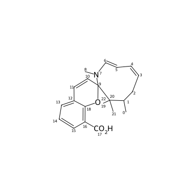 CC1C/C=C\C=C\N(C)C2(C=Cc3cccc(C(=O)O)c3O2)C1(C)C